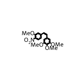 COc1cc(/C=C\c2cc(OC)c(OC)c(OC)c2)ccc1[N+](=O)[O-]